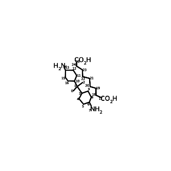 CC(C)(C1CCC(N)CC1)C1CCC(N)CC1.O=C(O)CCCCCCCC(=O)O